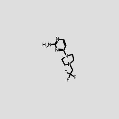 Nc1nccc(N2CCN(CC(F)(F)F)CC2)n1